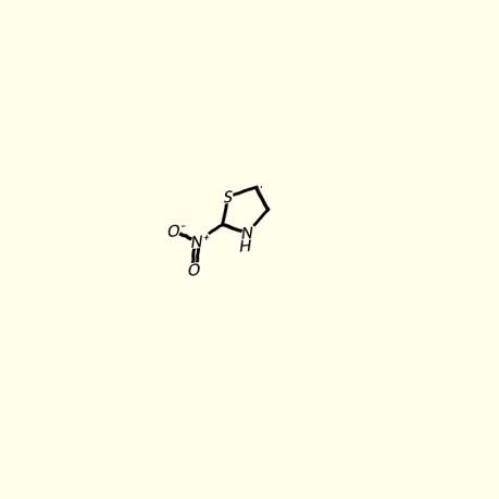 O=[N+]([O-])C1NC[CH]S1